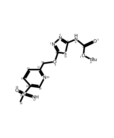 CC(C)(C)OC(=O)Nc1nnc(OCc2ccc(S(C)(=N)=O)cn2)s1